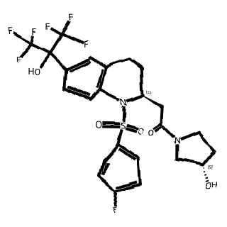 O=C(C[C@@H]1CCc2cc(C(O)(C(F)(F)F)C(F)(F)F)ccc2N1S(=O)(=O)c1ccc(F)cc1)N1CC[C@H](O)C1